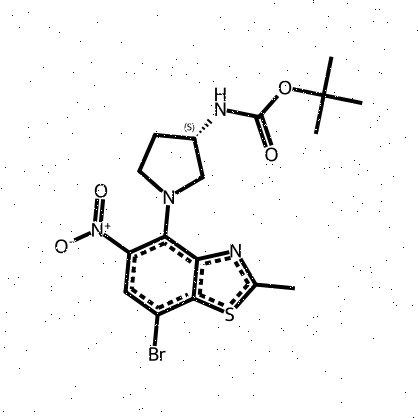 Cc1nc2c(N3CC[C@H](NC(=O)OC(C)(C)C)C3)c([N+](=O)[O-])cc(Br)c2s1